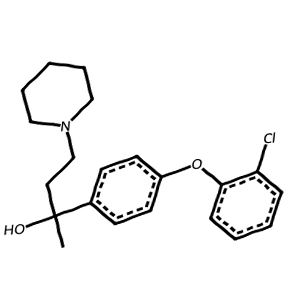 CC(O)(CCN1CCCCC1)c1ccc(Oc2ccccc2Cl)cc1